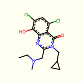 CCN(C)Cc1nc2c(O)c(Cl)cc(Cl)c2c(=O)n1CC1CC1